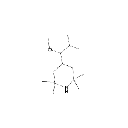 COC(C(C)C)C1CC(C)(C)NC(C)(C)C1